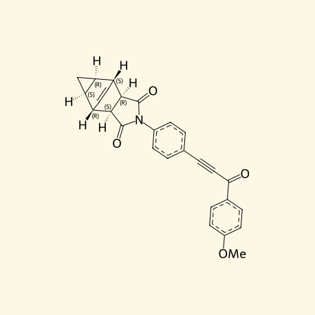 COc1ccc(C(=O)C#Cc2ccc(N3C(=O)[C@@H]4[C@@H]5C=C[C@@H]([C@H]6C[C@@H]56)[C@@H]4C3=O)cc2)cc1